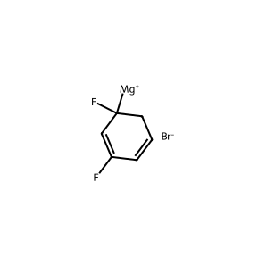 FC1=C[C](F)([Mg+])CC=C1.[Br-]